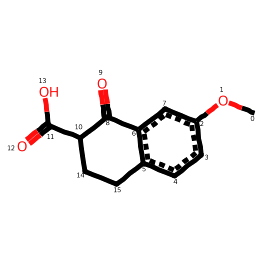 COc1ccc2c(c1)C(=O)C(C(=O)O)CC2